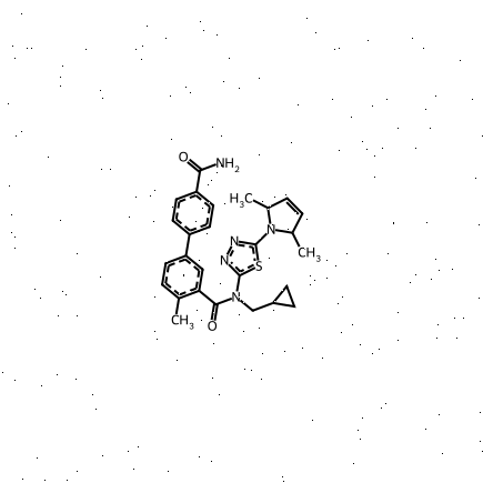 Cc1ccc(-c2ccc(C(N)=O)cc2)cc1C(=O)N(CC1CC1)c1nnc(N2C(C)C=CC2C)s1